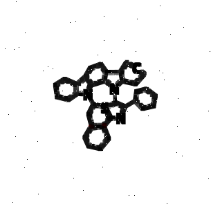 c1ccc(-c2nc(-c3ccccc3)c(-n3c4ccccc4c4ccc5c6ccccc6n(-c6ccccc6)c5c43)s2)cc1